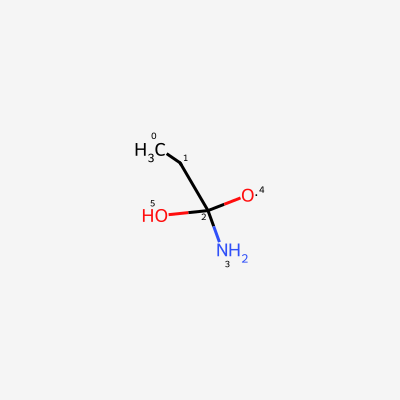 CCC(N)([O])O